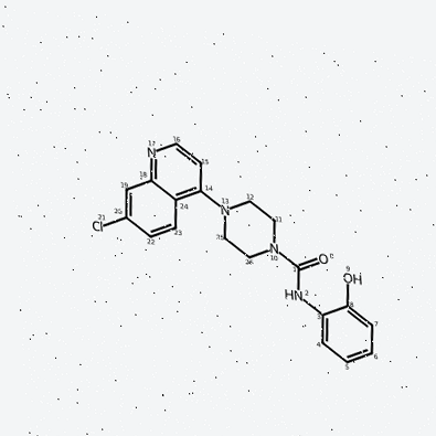 O=C(Nc1ccccc1O)N1CCN(c2ccnc3cc(Cl)ccc23)CC1